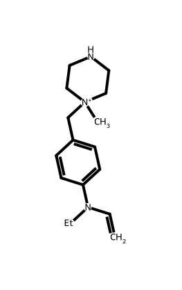 C=CN(CC)c1ccc(C[N+]2(C)CCNCC2)cc1